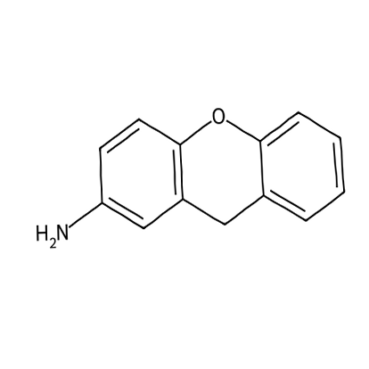 Nc1ccc2c(c1)Cc1ccccc1O2